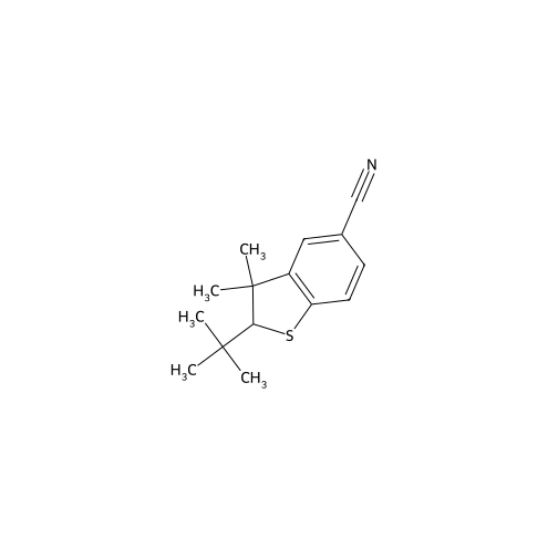 CC(C)(C)C1Sc2ccc(C#N)cc2C1(C)C